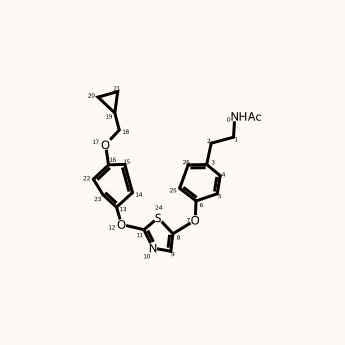 CC(=O)NCCc1ccc(Oc2cnc(Oc3ccc(OCC4CC4)cc3)s2)cc1